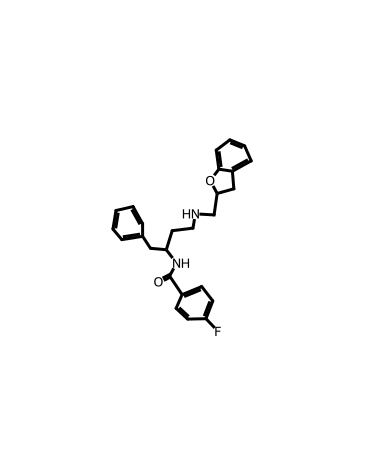 O=C(NC(CCNCC1Cc2ccccc2O1)Cc1ccccc1)c1ccc(F)cc1